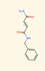 NC(=O)/C=C/C(=O)NCc1ccccc1